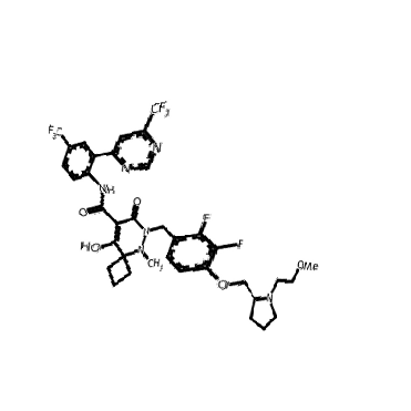 COCCN1CCC[C@H]1COc1ccc(CN2C(=O)C(C(=O)Nc3ccc(C(F)(F)F)cc3-c3cc(C(F)(F)F)ncn3)=C(O)C3(CCC3)N2C)c(F)c1F